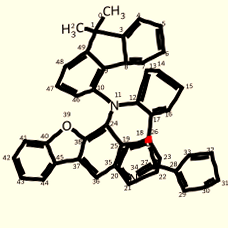 CC1(C)c2ccccc2-c2c(N(c3ccccc3-c3ccccc3)c3c4oc(-c5ccccc5)nc4cc4c3oc3ccccc34)cccc21